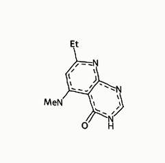 CCc1cc(NC)c2c(=O)[nH]cnc2n1